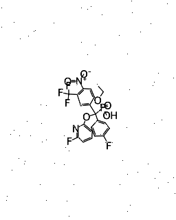 CCOP(=O)(O)C(Oc1cccc(F)n1)(c1ccc(F)cc1)c1ccc([N+](=O)[O-])c(C(F)(F)F)c1